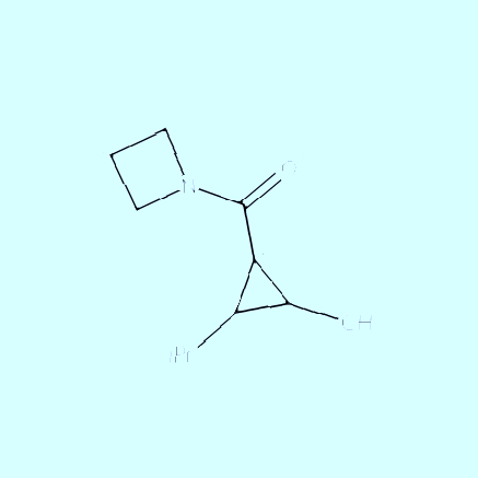 CC(C)C1C(C)C1C(=O)N1CCC1